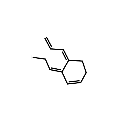 C=C/C=C1/CCC=C/C1=C/CI